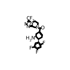 N[C@@H]1CC(C(=O)N2CCn3c(nnc3C(F)(F)F)C2)=CC[C@H]1c1cc(F)c(F)cc1F